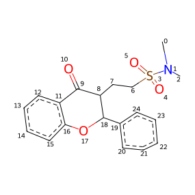 CN(C)S(=O)(=O)CCC1C(=O)c2ccccc2OC1c1ccccc1